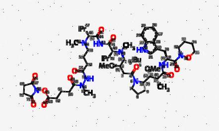 CC[C@H](C)[C@@H]([C@@H](CC(=O)N1CCC[C@H]1[C@H](OC)[C@@H](C)C(=O)N[C@@H](Cc1c[nH]c2ccccc12)C(=O)N1CCCCO1)OC)N(C)[C@H](C(=O)NC(=O)[C@H](C(C)C)N(C)CCCC(=O)NN(C)C(=O)CCCC(=O)ON1C(=O)CCC1=O)C(C)C